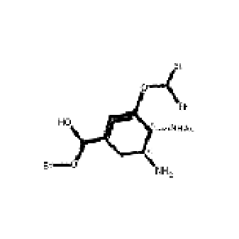 CCOC(O)C1=C=C(OC(CC)CC)[C@H](NC(C)=O)[C@@H](N)C1